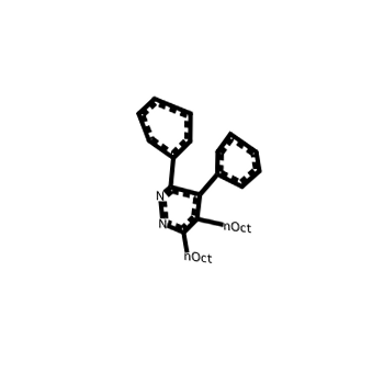 CCCCCCCCc1nnc(-c2ccccc2)c(-c2ccccc2)c1CCCCCCCC